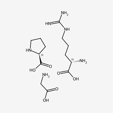 N=C(N)NCCC[C@H](N)C(=O)O.NCC(=O)O.O=C(O)[C@@H]1CCCN1